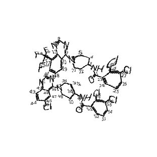 O=C(NC1CCN(c2ncnc3c(C(F)(F)F)cccc23)CC1)c1cccc(Cl)c1Cl.O=C(NC1CCN(c2ncnc3ccc(Cl)cc23)CC1)c1cccc(Cl)c1Cl